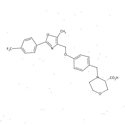 Cc1oc(-c2ccc(C(F)(F)F)cc2)nc1COc1ccc(CN2CCOC[C@H]2C(=O)O)cc1